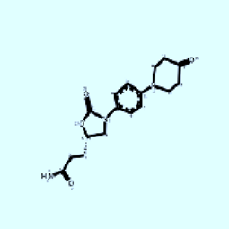 NC(=O)CC[C@H]1CN(c2ccc(N3CCC(=O)CC3)cc2)C(=O)O1